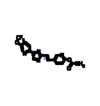 NC(=O)Oc1ccc(/C=C/c2ncn(-c3ccc(OC(F)(F)F)cn3)n2)cn1